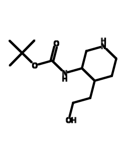 CC(C)(C)OC(=O)NC1CNCCC1CCO